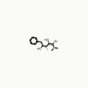 CC(=O)[C@H]([C@H](O)[C@H](C)C(O)Cc1ccccc1)N(C)C